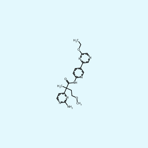 CCOc1cncc(-c2ccc(NC(=O)C(C)(CCOC)c3ccnc(N)n3)nc2)n1